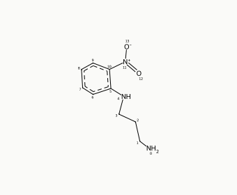 NCCCNc1ccccc1[N+](=O)[O-]